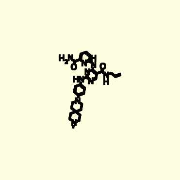 C=CCNC(=O)c1cnc(Nc2ccc(N3CCC4(CCN(C)CC4)CC3)cc2)nc1Nc1cccc(C(N)=O)n1